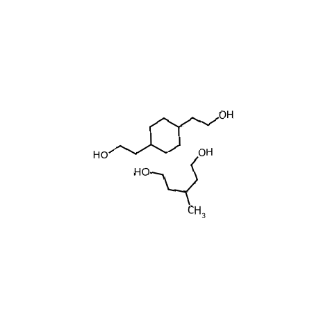 CC(CCO)CCO.OCCC1CCC(CCO)CC1